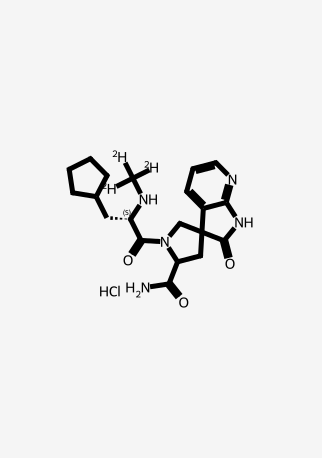 Cl.[2H]C([2H])([2H])N[C@@H](CC1CCCC1)C(=O)N1CC2(CC1C(N)=O)C(=O)Nc1ncccc12